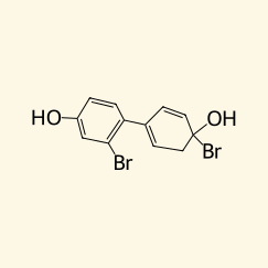 Oc1ccc(C2=CCC(O)(Br)C=C2)c(Br)c1